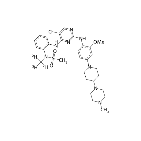 [2H]C([2H])([2H])N(c1ccccc1Nc1nc(Nc2ccc(N3CCC(N4CCN(C)CC4)CC3)cc2OC)ncc1Cl)S(C)(=O)=O